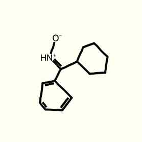 [O-][NH+]=C(c1ccccc1)C1CCCCC1